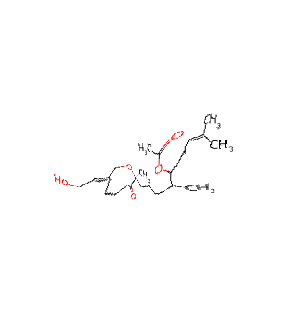 CC(=O)OC(CC=C(C)C)C(C)CCC[C@]1(C)OC/C(=C/CO)CCC1=O